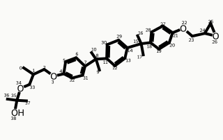 CC(COc1ccc(C(C)(C)c2ccc(C(C)(C)c3ccc(OCC4CO4)cc3)cc2)cc1)COC(C)(C)O